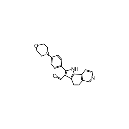 O=Cc1c(-c2ccc(N3CCOCC3)cc2)[nH]c2c1ccc1cnccc12